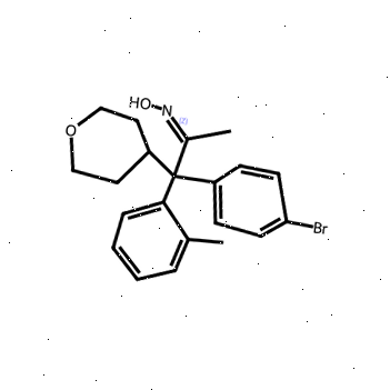 C/C(=N/O)C(c1ccc(Br)cc1)(c1ccccc1C)C1CCOCC1